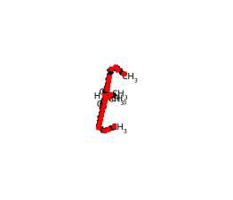 CCCCC/C=C\C/C=C\CCCCCCCCOC(=O)CCN(CCC(=O)OCCCCCCCC/C=C\C/C=C\CCCCC)CC(C)(C)CN(C)C